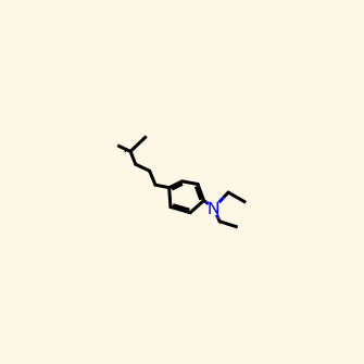 CCN(CC)c1ccc(CCC[C](C)C)cc1